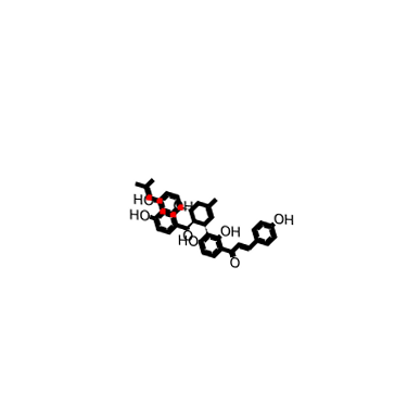 CC(C)=CCc1c(O)ccc(C(=O)[C@@H]2[C@@H](c3c(O)ccc(C(=O)/C=C/c4ccc(O)cc4)c3O)C=C(C)C[C@H]2c2ccc(O)cc2)c1O